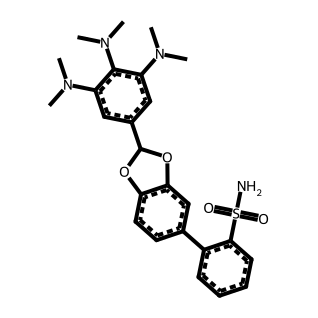 CN(C)c1cc(C2Oc3ccc(-c4ccccc4S(N)(=O)=O)cc3O2)cc(N(C)C)c1N(C)C